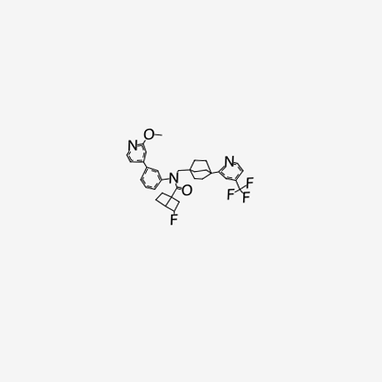 COc1cc(-c2cccc(N(CC34CCC(c5cc(C(F)(F)F)ccn5)(CC3)CC4)C(=O)C34CCC3C(F)C4)c2)ccn1